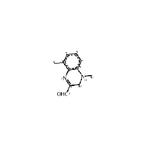 Cc1cccc2c1N=C(C=O)CN2C